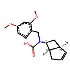 COc1ccc(CN(C(=O)O)[C@H]2C[C@H]3C=CC[C@H]32)c(OC)c1